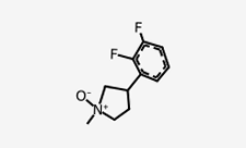 C[N+]1([O-])CCC(c2cccc(F)c2F)C1